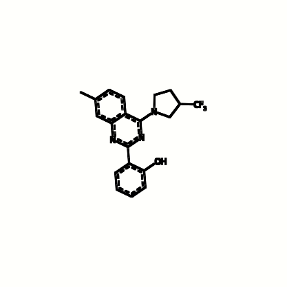 Cc1ccc2c(N3CCC(C(F)(F)F)C3)nc(-c3ccccc3O)nc2c1